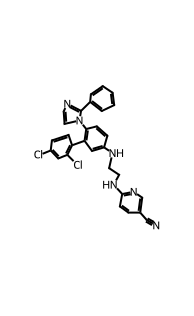 N#Cc1ccc(NCCNc2ccc(-n3ccnc3-c3ccccc3)c(-c3ccc(Cl)cc3Cl)c2)nc1